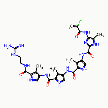 C=C(Cl)C(=O)Nc1nc(C(=O)Nc2c[nH]c(C(=O)Nc3c[nH]c(C(=O)Nc4c[nH]c(C(=O)NCCNC(=N)N)c4C)c3C)c2C)[nH]c1C